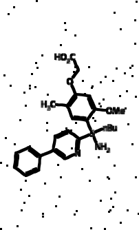 CCCCS(N)(c1ccc(-c2ccccc2)cn1)c1cc(C)c(OCC(=O)O)cc1OC